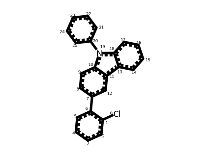 Clc1ccccc1-c1ccc2c(c1)c1ccccc1n2-c1ccccc1